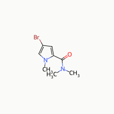 CN(C)C(=O)c1cc(Br)cn1C